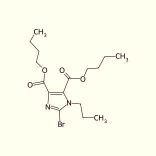 CCCCOC(=O)c1nc(Br)n(CCC)c1C(=O)OCCCC